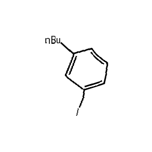 CCCCc1cccc(I)c1